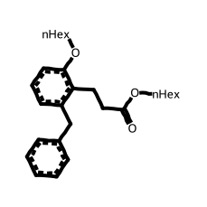 CCCCCCOC(=O)CCc1c(Cc2ccccc2)cccc1OCCCCCC